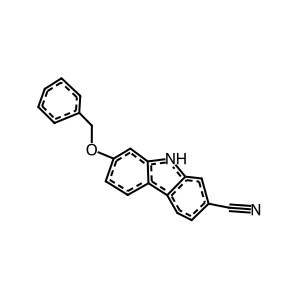 N#Cc1ccc2c(c1)[nH]c1cc(OCc3ccccc3)ccc12